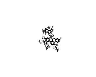 CC(C)(C)OC(=O)Nc1ccc(-c2ccc(Cl)c3c(N)nn(CC(F)(F)F)c23)c([C@H](Cc2cc(F)cc(F)c2)NC(=O)CN2N=C(C(F)(F)F)C3C2C(F)(F)[C@@H]2C[C@H]32)n1